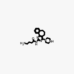 NCCCC(=O)Nc1nc2c(c(N3CCNCC3)n1)CCCc1ccccc1-2